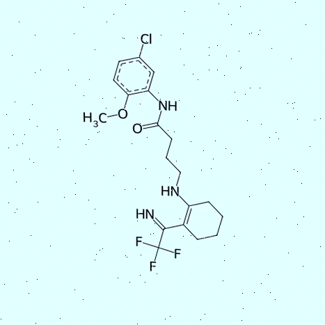 COc1ccc(Cl)cc1NC(=O)CCCNC1=C(C(=N)C(F)(F)F)CCCC1